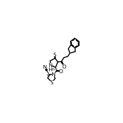 N#C[C@@H]1CSCN1C(=O)[C@H]1NCC(=S)C1C(=O)CCC1Cc2ccccc2C1